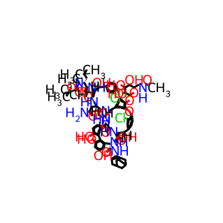 CC(=O)NCC1OC(Oc2c3cc4cc2Oc2ccc(cc2Cl)[C@@H](O)[C@@H](NC(=O)[C@@H](CC(C)C)N(C)C(=O)OC(C)(C)C)C(=O)N[C@@H](CC(N)=O)C(=O)N[C@H]4C(=O)N[C@H]2C(=O)N[C@H](C(=O)N[C@H](C(=O)NC4C5CC6CC(C5)CC4C6)c4cc(O)cc(O)c4-c4cc2ccc4O)[C@H](O)c2ccc(c(Cl)c2)O3)C(O)C(O)C1O